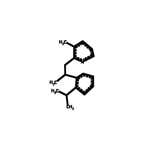 Cc1cccnc1CC(C)c1ccccc1C(C)C